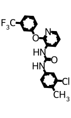 Cc1ccc(NC(=O)Nc2cccnc2Oc2cccc(C(F)(F)F)c2)cc1Cl